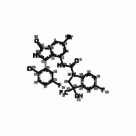 O=C(Nc1cc(Br)cn2c(=O)[nH]c(-c3cc(F)ccc3Cl)c12)N1CC(O)(C(F)(F)F)c2cc(F)ccc21